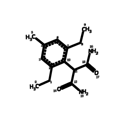 CCc1cc(C)cc(CC)c1C(C(N)=O)C(N)=O